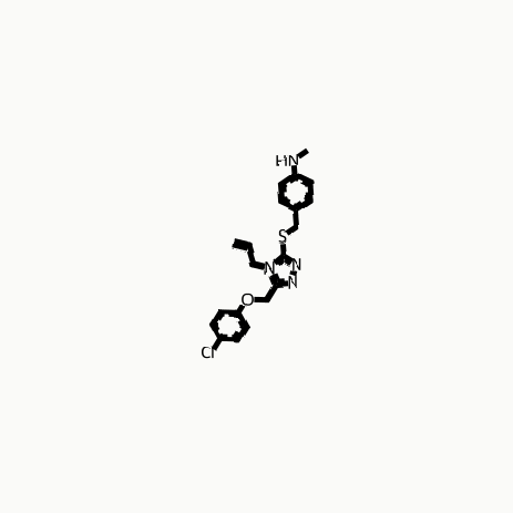 C=CCn1c(COc2ccc(Cl)cc2)nnc1SCc1ccc(NC)cc1